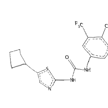 O=C(Nc1ccc(Cl)c(C(F)(F)F)c1)Nc1ncc(C2CCC2)s1